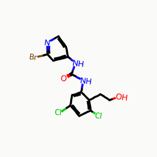 O=C(Nc1ccnc(Br)c1)Nc1cc(Cl)cc(Cl)c1CCO